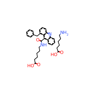 NCCCCCC(=O)O.O=C(O)CCCCCNC(=O)c1c2ccccc2nc2cccc(Cc3ccccc3)c12